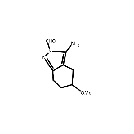 COC1CCc2nn(C=O)c(N)c2C1